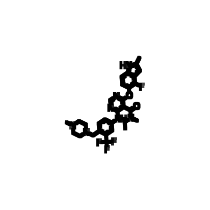 CCN(C)C(=O)c1c(Nc2ccc(CN3CCN(C)CC3)c(C(F)(F)F)c2)ncnc1Oc1ccc2[nH]c(C)cc2c1F